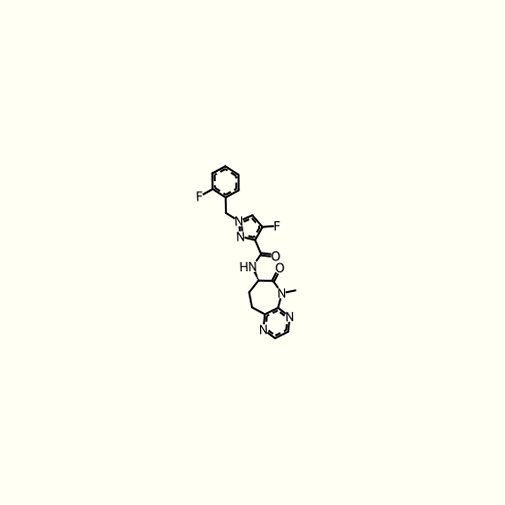 CN1C(=O)[C@H](NC(=O)c2nn(Cc3ccccc3F)cc2F)CCc2nccnc21